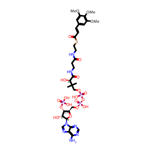 COc1cc(C=CC(=O)SCCNC(=O)CCNC(=O)[C@H](O)C(C)(C)COP(=O)(O)OP(=O)(O)OC[C@H]2O[C@@H](n3cnc4c(N)ncnc43)[C@H](O)[C@@H]2OP(=O)(O)O)cc(OC)c1OC